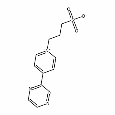 O=S(=O)([O-])CCC[n+]1ccc(-c2nccnn2)cc1